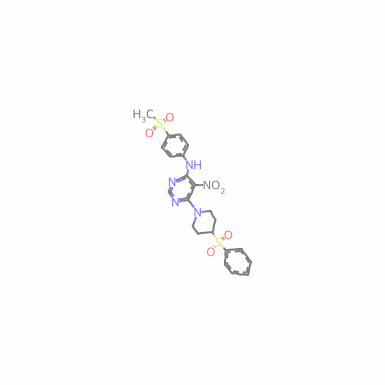 CS(=O)(=O)c1ccc(Nc2ncnc(N3CCC(S(=O)(=O)c4ccccc4)CC3)c2[N+](=O)[O-])cc1